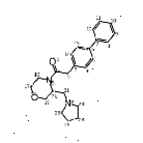 O=C(Cc1ccc(-c2ccccc2)cc1)N1CCOCC1CN1CCCC1